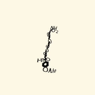 COc1ccc(NC(=O)CCOCCOCCOCCOCCOCCC(N)=O)cc1